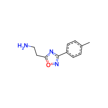 Cc1ccc(-c2noc(CCN)n2)cc1